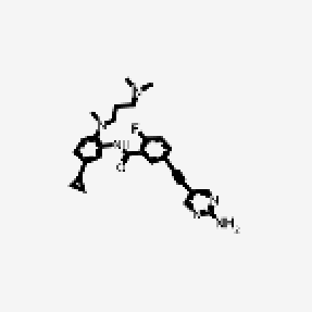 CN(C)CCCN(C)c1ccc(C2CC2)cc1NC(=O)c1cc(C#Cc2cnc(N)nc2)ccc1F